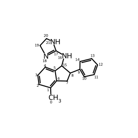 Cc1cccc2c1CC(c1ccccc1)C2NC1=NCCN1